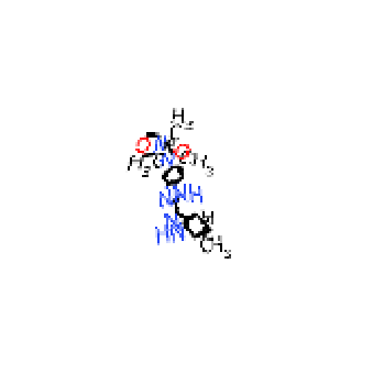 Cc1cc2[nH]c(-c3n[nH]c4c3C[C@@H]3C[C@]3(C)C4)nc2cc1N(C)C(=O)[C@H](C)N1CCOCC1